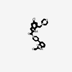 O=CC1Nc2cccc(C3CCN(C(=O)c4cc5cc(Cl)cc(CN6CCOCC6)c5[nH]4)CC3)c2O1